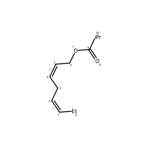 CC/C=C\C/C=C\COC(=O)C(C)C